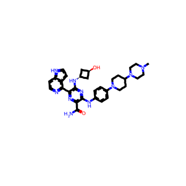 CN1CCN(C2CCN(c3ccc(Nc4nc(N[C@H]5C[C@H](O)C5)c(-c5nccc6[nH]ccc56)nc4C(N)=O)cc3)CC2)CC1